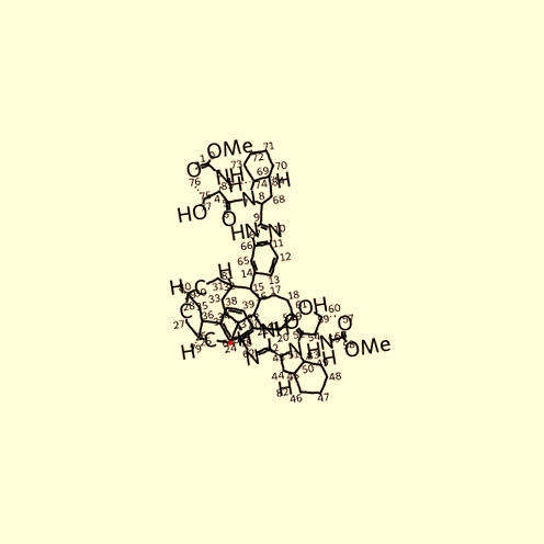 COC(=O)N[C@H](C(=O)N1C(c2nc3ccc(C4C5CCCCCC5[C@@H]5CC[C@H]6CC[C@@H](CC[C@H]4CC5)CC6c4ccc5[nH]c([C@@H]6C[C@@H]7CCCC[C@@H]7N6C(=O)[C@@H](NC(=O)OC)[C@@H](C)O)nc5c4)cc3[nH]2)C[C@@H]2CCCC[C@@H]21)[C@@H](C)O